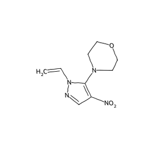 C=Cn1ncc([N+](=O)[O-])c1N1CCOCC1